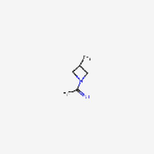 CC(=N)N1CC(C)C1